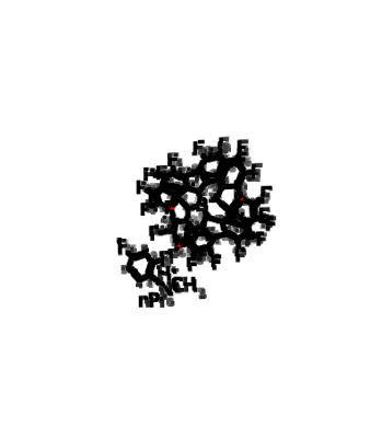 CCC[NH+](C)c1ccc(F)cc1F.Fc1cc2c(c(F)c1F)-c1c(F)c(F)c(F)c(F)c1C2[B-](C1c2cc(F)c(F)c(F)c2-c2c(F)c(F)c(F)c(F)c21)(C1c2cc(F)c(F)c(F)c2-c2c(F)c(F)c(F)c(F)c21)C1c2cc(F)c(F)c(F)c2-c2c(F)c(F)c(F)c(F)c21